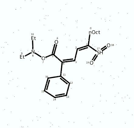 CCCCCCCCC(=CC=C(C(=O)ON(CC)CC)c1ccccc1)[SH](=O)=O